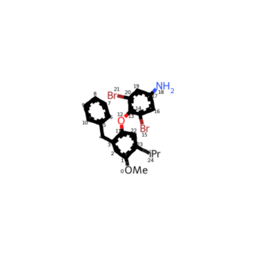 COc1cc(Cc2ccccc2)c(Oc2c(Br)cc(N)cc2Br)cc1C(C)C